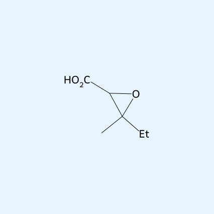 CCC1(C)OC1C(=O)O